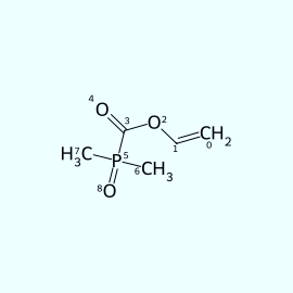 C=COC(=O)P(C)(C)=O